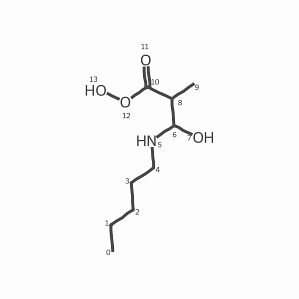 CCCCCNC(O)C(C)C(=O)OO